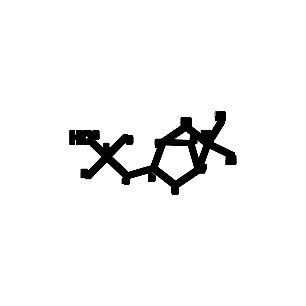 CC(C)(O)CC1CC2CC1CC2(C)C